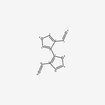 O=Cc1[c]occ1-c1occc1C=O